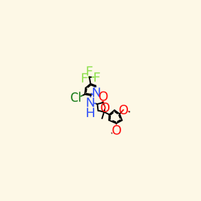 COc1cc(OC)cc(C2(C)CC(Nc3ncc(C(F)(F)F)cc3Cl)C(=O)O2)c1